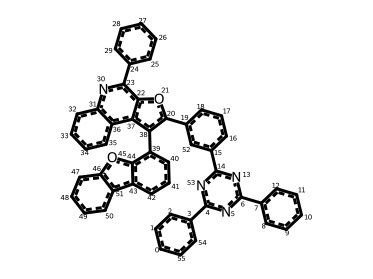 c1ccc(-c2nc(-c3ccccc3)nc(-c3cccc(-c4oc5c(-c6ccccc6)nc6ccccc6c5c4-c4cccc5c4oc4ccccc45)c3)n2)cc1